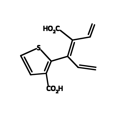 C=C/C(C(=O)O)=C(\C=C)c1sccc1C(=O)O